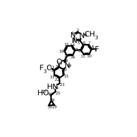 Cn1cnnc1-c1cc(F)ccc1-c1cccc(-c2nc3cc(CNC[C@@H](O)C4CC4)cc(C(F)(F)F)c3o2)c1